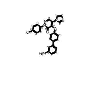 Nc1cccc(-c2ccc(Oc3c(-n4ccnc4)cnn(-c4ccc(Cl)cc4)c3=O)cc2)c1